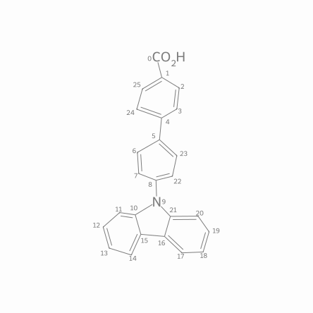 O=C(O)c1ccc(-c2ccc(-n3c4ccccc4c4ccccc43)cc2)cc1